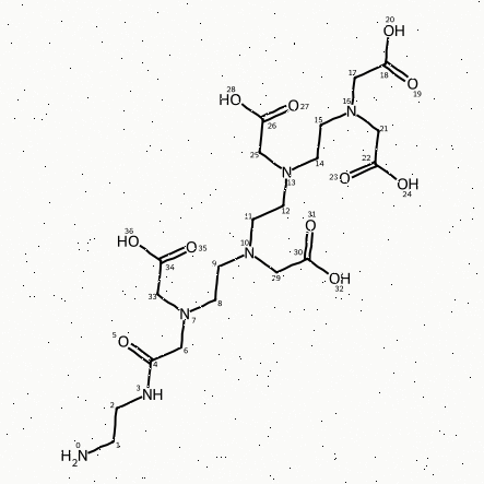 NCCNC(=O)CN(CCN(CCN(CCN(CC(=O)O)CC(=O)O)CC(=O)O)CC(=O)O)CC(=O)O